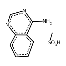 CS(=O)(=O)O.Nc1ncnc2ccccc12